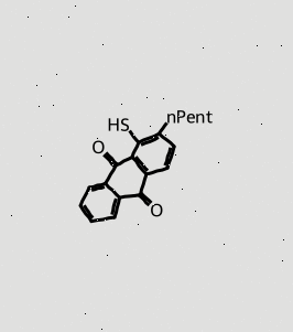 CCCCCc1ccc2c(c1S)C(=O)c1ccccc1C2=O